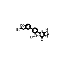 CCOc1cc(-c2cccc(CC(CC)C(=O)O)c2)ccc1-c1nc2[nH]cnc2c(=O)[nH]1